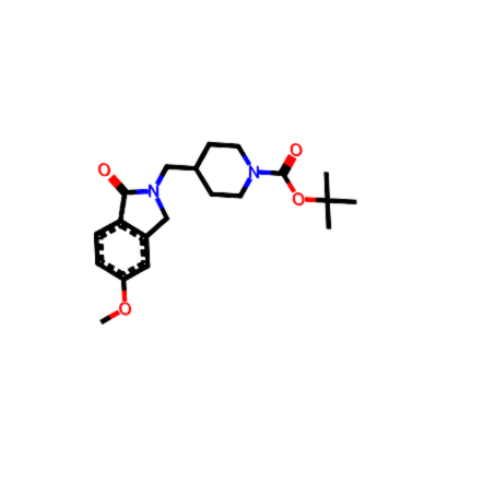 COc1ccc2c(c1)CN(CC1CCN(C(=O)OC(C)(C)C)CC1)C2=O